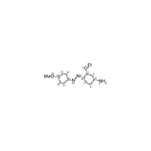 CCOc1cc(N)ccc1N=Nc1ccc(OC)cc1